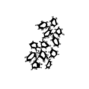 FC(F)(F)c1ccccc1N(c1cccc(Sc2cc(N(c3ccccc3)c3ccccc3)cc(N(c3ccccc3)c3ccccc3)c2)c1)c1cc(N(c2ccccc2)c2ccccc2)cc(N(c2ccccc2)c2ccccc2)c1